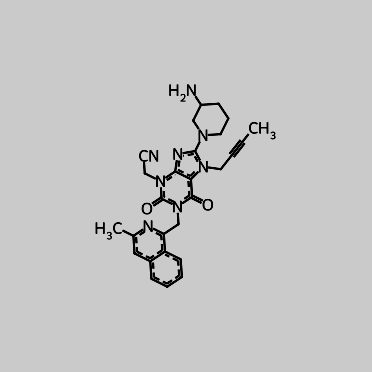 CC#CCn1c(N2CCCC(N)C2)nc2c1c(=O)n(Cc1nc(C)cc3ccccc13)c(=O)n2CC#N